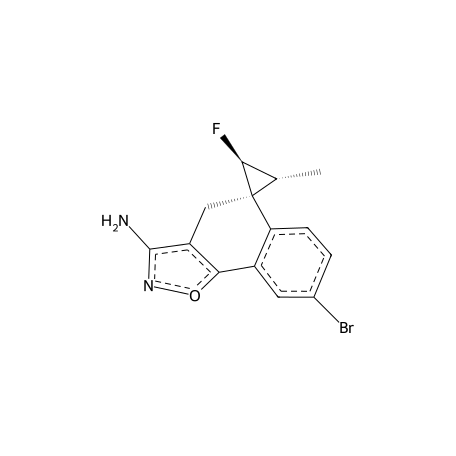 C[C@H]1[C@H](F)[C@@]12Cc1c(N)noc1-c1cc(Br)ccc12